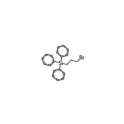 BrCCC[Si](c1ccccc1)(c1ccccc1)c1ccccc1